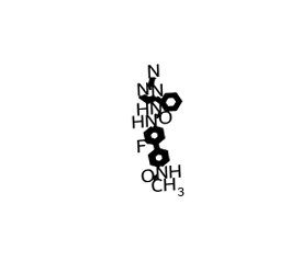 CC(=O)Nc1ccc(-c2ccc(NC(=O)NC3(c4ccnc(C#N)n4)CCCCC3)cc2F)cc1